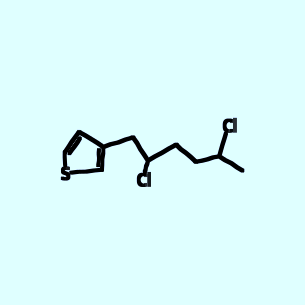 CC(Cl)CCC(Cl)Cc1ccsc1